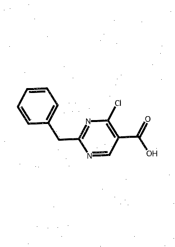 O=C(O)c1cnc(Cc2ccccc2)nc1Cl